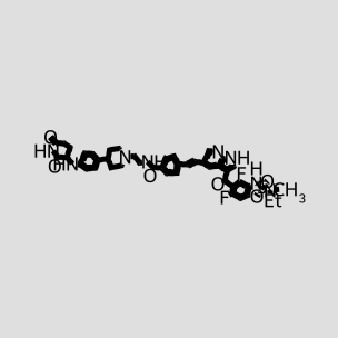 CCN(C)S(=O)(=O)Nc1ccc(F)c(C(=O)c2c[nH]c3ncc(C#Cc4ccc(C(=O)NCCN5CCC(c6ccc(NC7CCC(=O)NC7=O)cc6)CC5)cc4)cc23)c1F